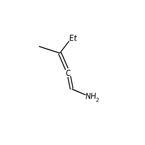 CCC(C)=C=CN